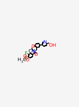 Cc1c(C(=O)N2CCOc3ccc(-c4ccc(CO)nc4)cc3C2)ccc(S(C)(=O)=O)c1F